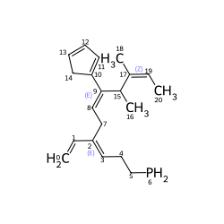 C=C/C(=C/CCP)C/C=C(/C1=CC=CC1)C(C)/C(C)=C\C